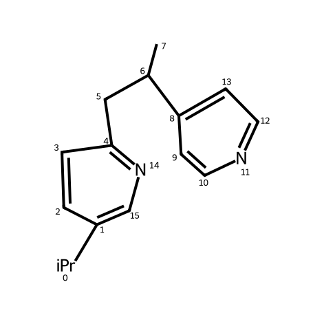 CC(C)c1ccc(CC(C)c2ccncc2)nc1